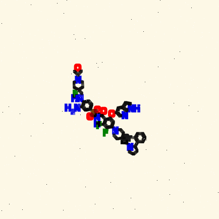 CC(C)c1ccccc1C1CCCN1C1CC2(CCN(c3cc(Oc4cnc5[nH]ccc5c4)c(C(=O)NS(=O)(=O)c4ccc(NCC5(F)CCN(C6COC6)CC5)c(N)c4)c(F)c3F)CC2)C1